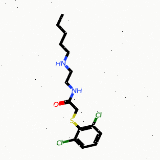 CCCCCNCCNC(=O)CSc1c(Cl)cccc1Cl